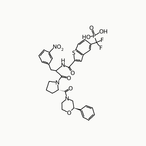 O=C(NC(Cc1cccc([N+](=O)[O-])c1)C(=O)N1CCC[C@H]1C(=O)N1CCO[C@H](c2ccccc2)C1)c1cc2cc(C(F)(F)P(=O)(O)O)ccc2s1